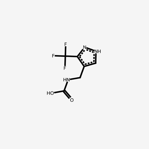 O=C(O)NCc1c[nH]nc1C(F)(F)F